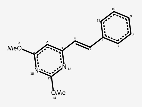 COc1cc(C=Cc2ccccc2)nc(OC)n1